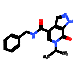 CC(C)n1cc(C(=O)NCc2ccccc2)c2cn[nH]c2c1=O